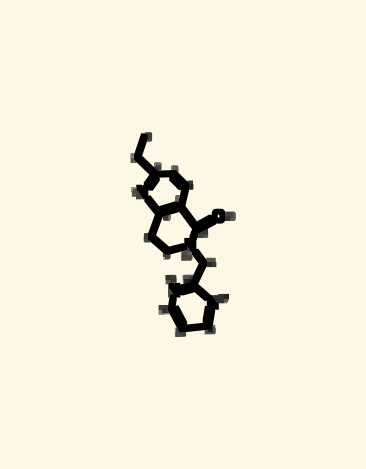 CCc1ccc2c(n1)CCN(Cc1ncccn1)C2=O